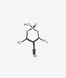 C#CC1C(C)OP(C)(=O)OC1C